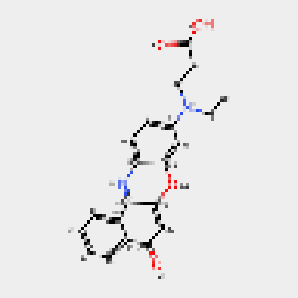 CCN(CCC(=O)O)c1ccc2nc3c4ccccc4c(=O)cc-3oc2c1